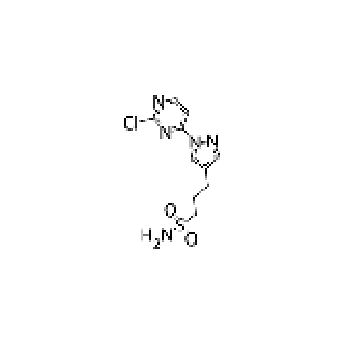 NS(=O)(=O)CCCc1cnn(-c2ccnc(Cl)n2)c1